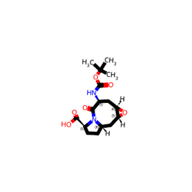 CC(C)(C)OC(=O)N[C@H]1C[C@H]2O[C@H]2C[C@H]2CC[C@@H](C(=O)O)N2C1=O